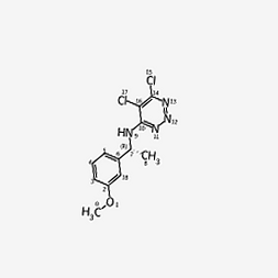 COc1cccc([C@@H](C)Nc2nnnc(Cl)c2Cl)c1